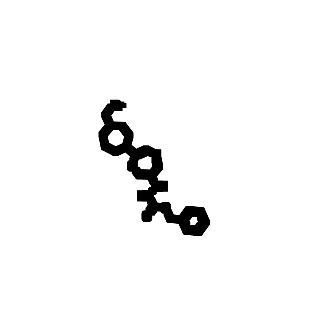 C[C](C)CC1CCCC(C2=CN=CC(NNC(=O)OCc3ccccc3)=CO2)CC1